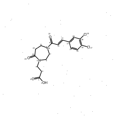 O=C(O)CCN1CCN(C(=O)C=Cc2ccc(Cl)c(Cl)c2)CCC1=O